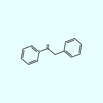 C1=CC=S(NCc2ccccc2)C=C1